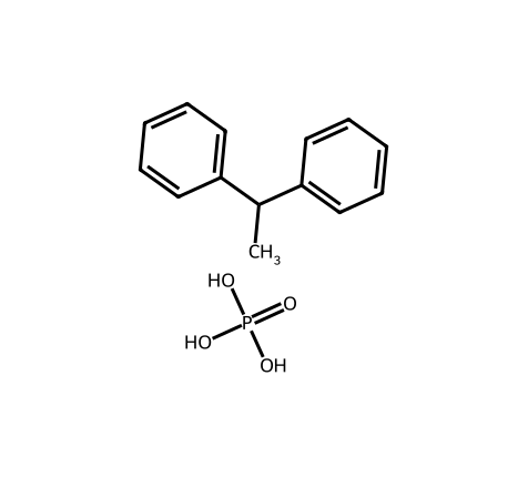 CC(c1ccccc1)c1ccccc1.O=P(O)(O)O